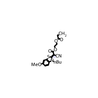 C=CC(=O)OCCOC(=O)/C(C#N)=C1\Sc2cc(OC)ccc2N1CCCC